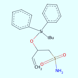 C=CC(CS(N)(=O)=O)O[Si](c1ccccc1)(c1ccccc1)C(C)(C)C